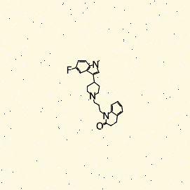 Cn1cc(C2CCN(CCCN3C(=O)CCc4ccccc43)CC2)c2cc(F)ccc21